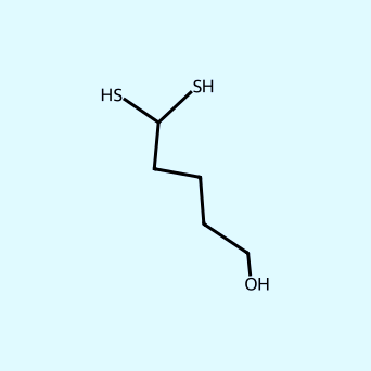 OCCCCC(S)S